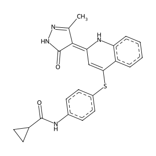 CC1=NNC(=O)C1=C1C=C(Sc2ccc(NC(=O)C3CC3)cc2)c2ccccc2N1